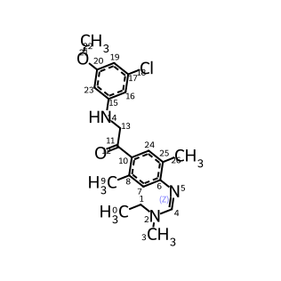 CCN(C)/C=N\c1cc(C)c(C(=O)CNc2cc(Cl)cc(OC)c2)cc1C